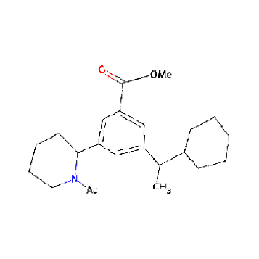 COC(=O)c1cc(C(C)C2CCCCC2)cc(C2CCCCN2C(C)=O)c1